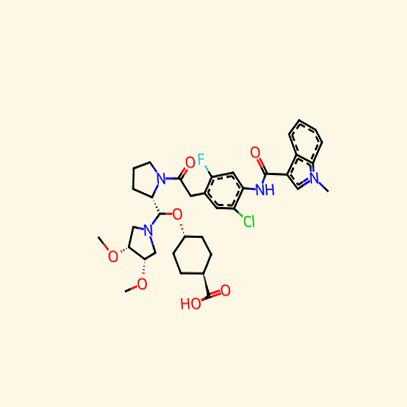 CO[C@H]1CN(C(O[C@H]2CC[C@H](C(=O)O)CC2)[C@@H]2CCCN2C(=O)Cc2cc(Cl)c(NC(=O)c3cn(C)c4ccccc34)cc2F)C[C@H]1OC